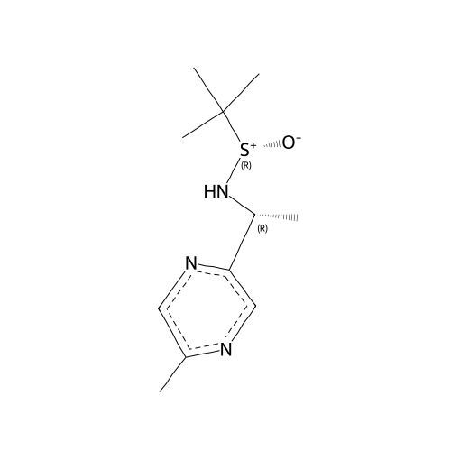 Cc1cnc([C@@H](C)N[S@@+]([O-])C(C)(C)C)cn1